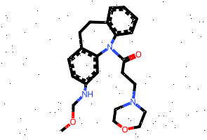 COCNc1ccc2c(c1)N(C(=O)CCN1CCOCC1)c1ccccc1CC2